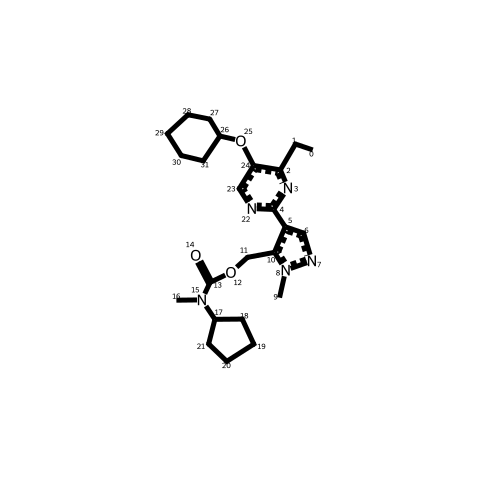 CCc1nc(-c2cnn(C)c2COC(=O)N(C)C2CCCC2)ncc1OC1CCCCC1